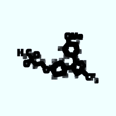 COc1ccc(-n2nc(C(F)(F)F)cc2-c2ccc(OCCS(C)(=O)=O)cc2)cc1